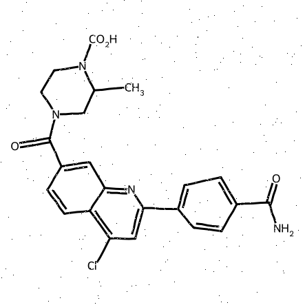 CC1CN(C(=O)c2ccc3c(Cl)cc(-c4ccc(C(N)=O)cc4)nc3c2)CCN1C(=O)O